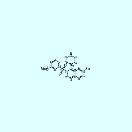 COc1cccc(S(=O)(=O)c2cnc3ccc(F)cc3c2N2CCOCC2)c1